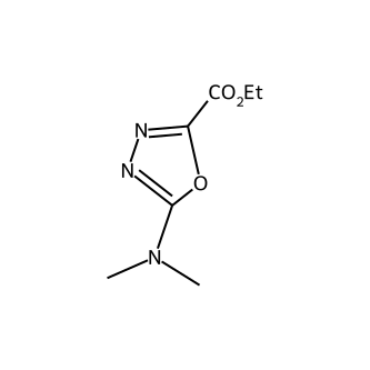 CCOC(=O)c1nnc(N(C)C)o1